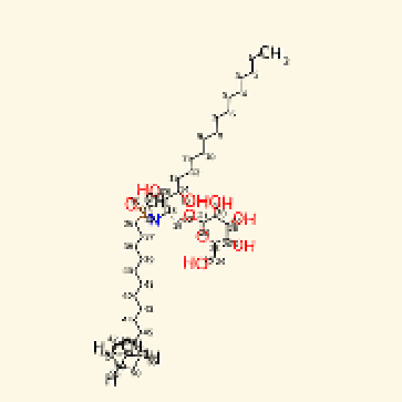 CCCCCCCCCCCCCC[C@@H](O)[C@@H](O)[C@H](COC1OC(CO)C(O)C(O)C1O)N=S(C)(=O)CCCCCCCCCCC1=CC[C@H]2C[C@@H]1C2(C)C